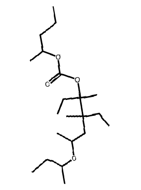 CCCC(C)OC(=O)OC(C)(CC)C(C)(CC)CC(C)OC(C)CC